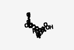 COCCCOc1cc(C[C@@H](C[C@H](NC(=O)OC(C)(C)C)[C@@H]2C[C@H](C(=O)O)C(C)O2)C(C)C)ccc1OC